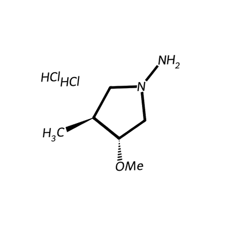 CO[C@H]1CN(N)C[C@@H]1C.Cl.Cl